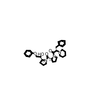 O=C([C@H](Cc1ccccc1)N1CCCCC1)N1CCC[C@H]1C(=O)N1CCC[C@H]1C(O)COc1ccccc1